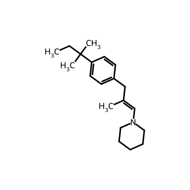 CCC(C)(C)c1ccc(C/C(C)=C/N2CCCCC2)cc1